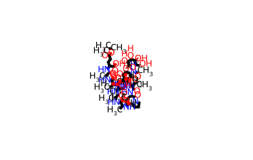 CC(=O)NC1[C@@H](OC(C)[C@H](N)C(=O)NC(C(=O)N2CCC[C@H]2C(=O)NC(C)C(=O)N[C@@H](C)C(=O)NC(C(=O)N[C@H](C(=O)NC(C(=O)N[C@@H](C)C(=O)NC(CCC(=O)OC(C)(C)C)C(=O)O)C(C)C)C(C)C)C(C)C)C(C)C)OC(CO)[C@H](O)[C@@H]1O[C@@H]1OC(CO)[C@H](O)C(O)[C@@H]1O